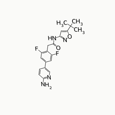 CC(C)(C)c1cc(NC(=O)Cc2c(F)cc(-c3ccc(N)nc3)cc2F)no1